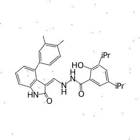 Cc1ccc(-c2cccc3c2/C(=C/NNC(=O)c2cc(C(C)C)cc(C(C)C)c2O)C(=O)N3)cc1C